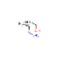 C=CCN.CCO